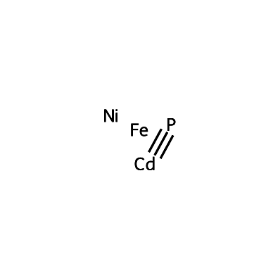 [Fe].[Ni].[P]#[Cd]